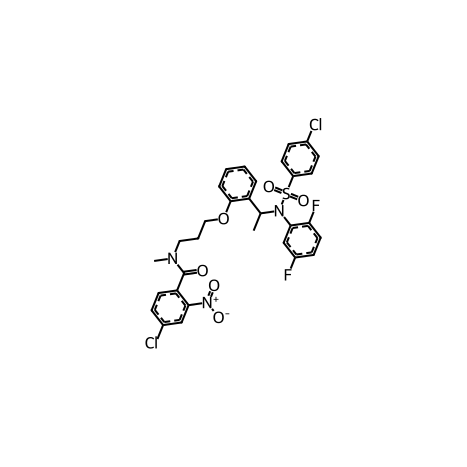 CC(c1ccccc1OCCCN(C)C(=O)c1ccc(Cl)cc1[N+](=O)[O-])N(c1cc(F)ccc1F)S(=O)(=O)c1ccc(Cl)cc1